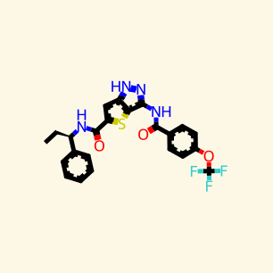 CC[C@@H](NC(=O)c1cc2[nH]nc(NC(=O)c3ccc(OC(F)(F)F)cc3)c2s1)c1ccccc1